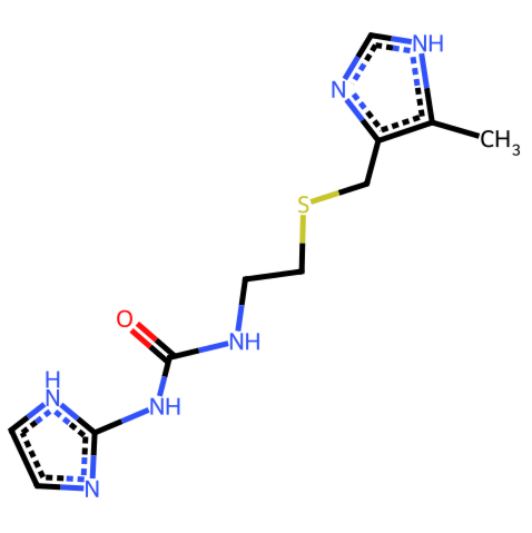 Cc1[nH]cnc1CSCCNC(=O)Nc1ncc[nH]1